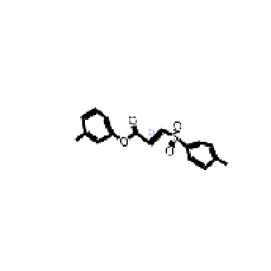 Cc1ccc(S(=O)(=O)/C=C/C(=O)Oc2cccc(C)c2)cc1